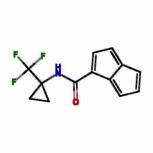 O=C(NC1(C(F)(F)F)CC1)C1=CC=C2C=CC=C21